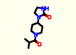 CC(C)C(=O)N1CCC(N2CCNC2=O)CC1